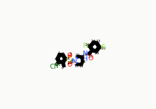 Cc1c(Cl)cccc1S(=O)(=O)N1CCC[C@H](NC(=O)c2cc(F)ccc2F)C1